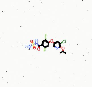 CNS(=O)(=O)NC(=O)c1cc(F)c(Oc2cnc(OC(C)C)c(Cl)c2)cc1F